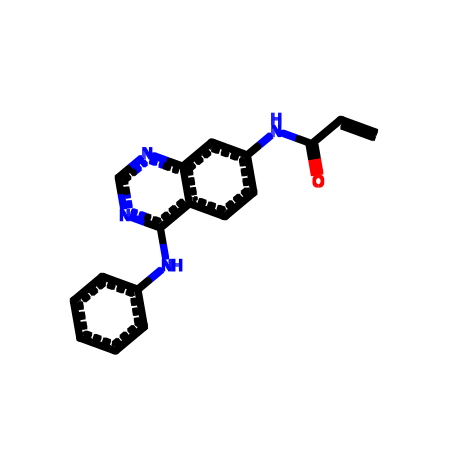 C=CC(=O)Nc1ccc2c(Nc3ccccc3)ncnc2c1